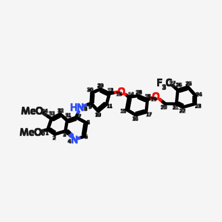 COc1cc2nccc(Nc3ccc(Oc4cccc(OCc5ccccc5C(F)(F)F)c4)cc3)c2cc1OC